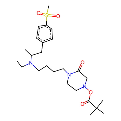 CCN(CCCCN1CCN(OC(=O)C(C)(C)C)CC1=O)C(C)Cc1ccc(S(C)(=O)=O)cc1